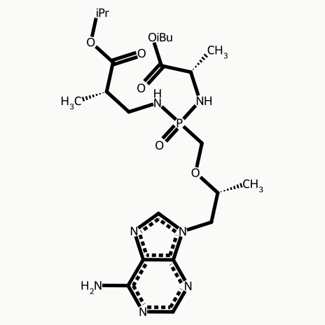 CC(C)COC(=O)[C@H](C)NP(=O)(CO[C@H](C)Cn1cnc2c(N)ncnc21)NC[C@H](C)C(=O)OC(C)C